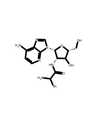 CC(C)C(N)C(=O)N[C@H]1C(O)[C@@H](CO)O[C@H]1n1cnc2c(N)ccnc21